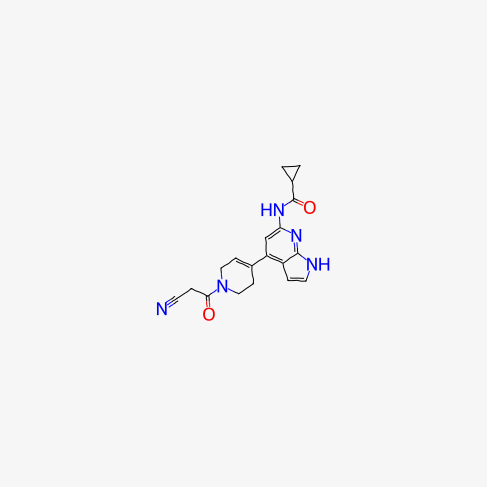 N#CCC(=O)N1CC=C(c2cc(NC(=O)C3CC3)nc3[nH]ccc23)CC1